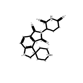 O=C1CCC(N2C(=O)c3ccc4c(c3C2=O)C2(CCNCC2)CO4)C(=O)N1